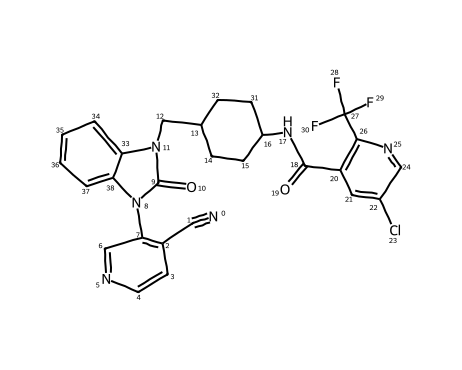 N#Cc1ccncc1-n1c(=O)n(CC2CCC(NC(=O)c3cc(Cl)cnc3C(F)(F)F)CC2)c2ccccc21